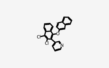 Clc1c(-c2cccnc2)c(Oc2c[c]c3ccccc3c2)c2ccccc2c1Cl